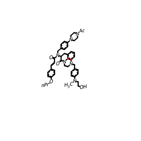 CCCOc1ccc(C=CC(=O)N(Cc2ccc(N3CCN(C(C)=O)CC3)cc2)C(Cc2ccccc2)C(=O)N2CCN(Cc3ccc(N(C)CCO)cc3)CC2)cc1